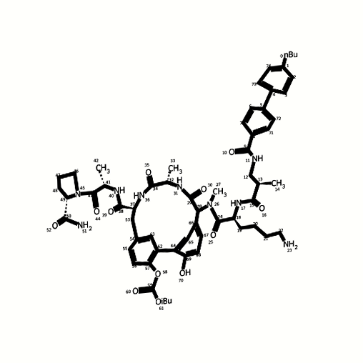 CCCCc1ccc(-c2ccc(C(=O)NC[C@@H](C)C(=O)N[C@@H](CCCCN)C(=O)N(C)C3C(=O)N[C@@H](C)C(=O)N[C@H](C(=O)N[C@@H](C)C(=O)N4CCC[C@H]4C(N)=O)Cc4ccc(OC(=O)OCC(C)C)c(c4)-c4cc3ccc4O)cc2)cc1